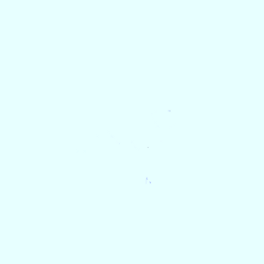 C/C(=C\c1ccc(Cl)cc1)C(O)(Cc1ccccc1C)C(C)CN(C)C